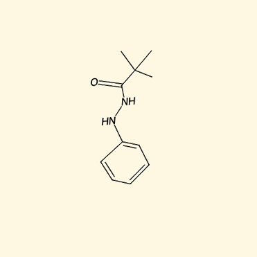 CC(C)(C)C(=O)NNc1ccccc1